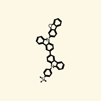 C[Si](C)(C)c1ccc(-n2c3ccccc3c3cc(-c4ccc5c(c4)c4ccccc4n5-c4ccc5c(c4)oc4ccccc45)ccc32)cc1